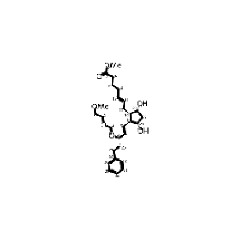 COCCOCO[C@H](C=C[C@H]1[C@@H](CC=CCCCC(=O)OC)[C@H](O)C[C@H]1O)CCc1ccccc1